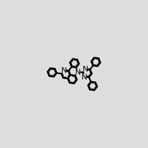 c1ccc(-c2cc(-c3ccccc3)nc(N3c4ccccc4-c4nc(-c5ccccc5)cc5cccc3c45)n2)cc1